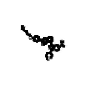 CC(=O)N1CCn2c(C3CCOCC3)nc(-c3cccc4cc(-c5ccc(OC/C=C/CBr)cc5)ncc34)c2C1